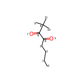 CCCCC(=O)C(=O)C(C)(C)C